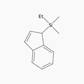 CC[Si](C)(C)C1C=Cc2ccccc21